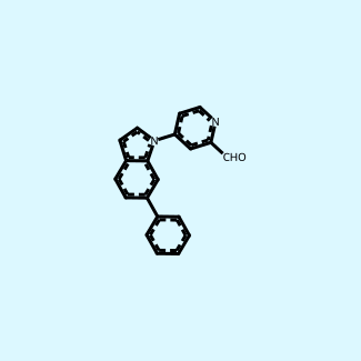 O=Cc1cc(-n2ccc3ccc(-c4ccccc4)cc32)ccn1